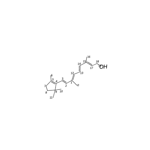 CC(C=CC1=C(C)CCC1(C)C)=CC=CC(C)=CCO